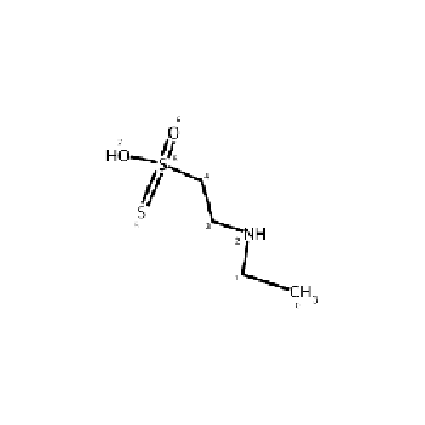 CCNCCS(=O)(O)=S